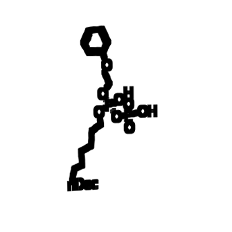 CCCCCCCCCCCCCCCCOP(=O)(OCCOc1ccccc1)OP(=O)(O)O